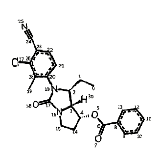 CC[C@H]1[C@@H]2[C@H](OC(=O)c3ccccc3)CCN2C(=O)N1c1ccc(C#N)c(Cl)c1C